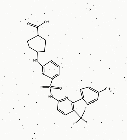 Cc1ccc(-c2nc(NS(=O)(=O)c3cccc(NC4CCC(C(=O)O)CC4)n3)ccc2C(F)(F)F)cc1